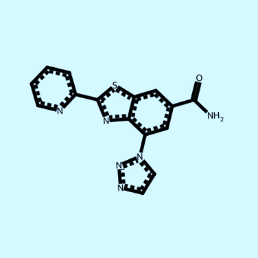 NC(=O)c1cc(-n2ccnn2)c2nc(-c3ccccn3)sc2c1